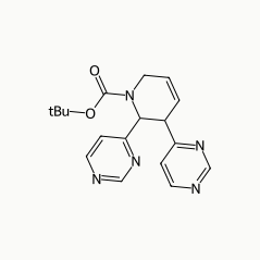 CC(C)(C)OC(=O)N1CC=CC(c2ccncn2)C1c1ccncn1